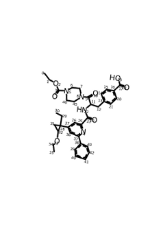 CCOC(=O)N1CCN(C(=O)C(Cc2ccc(C(=O)O)cc2)NC(=O)c2cc(C3(CC)CC3OCC)cc(-c3ccccc3)n2)CC1